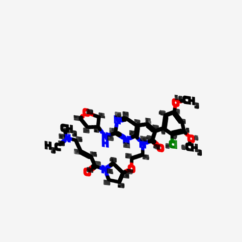 COc1cc(OC)c(Cl)c(-c2cc3cnc(NC4CCOC4)nc3n(CCOC3CCN(C(=O)C=CCN(C)C)C3)c2=O)c1